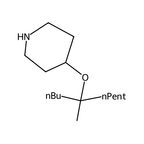 CCCCCC(C)(CCCC)OC1CCNCC1